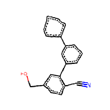 N#Cc1ccc(CO)cc1-c1cccc(-c2ccccc2)c1